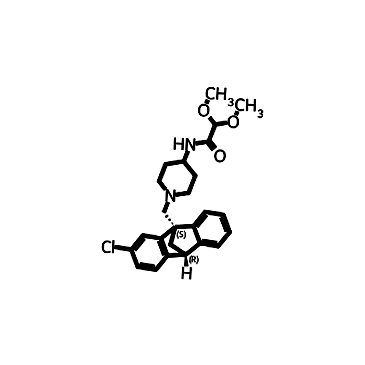 COC(OC)C(=O)NC1CCN(C[C@@]23C[C@H](c4ccccc42)c2ccc(Cl)cc23)CC1